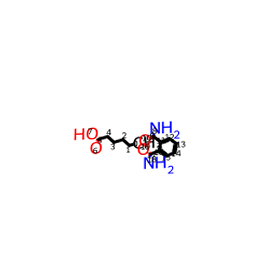 CCCCCC(=O)O.NC(=O)c1ccccc1C(N)=O